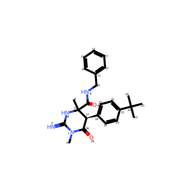 CN1C(=N)NC(C)(C(=O)NCc2ccccc2)[C@@H](c2ccc(C(C)(C)C)cc2)C1=O